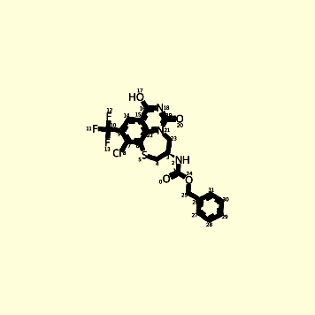 O=C(N[C@@H]1CSc2c(Cl)c(C(F)(F)F)cc3c(O)nc(=O)n(c23)C1)OCc1ccccc1